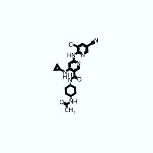 CC(=O)N[C@H]1CC[C@H](NC(=O)c2cnc(Nc3ncc(C#N)cc3Cl)cc2NC2CC2)CC1